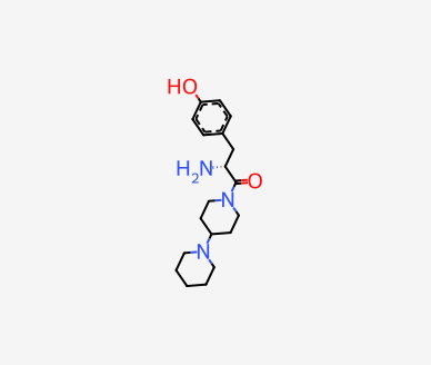 N[C@H](Cc1ccc(O)cc1)C(=O)N1CCC(N2CCCCC2)CC1